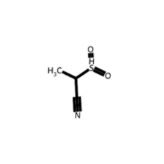 CC(C#N)[SH](=O)=O